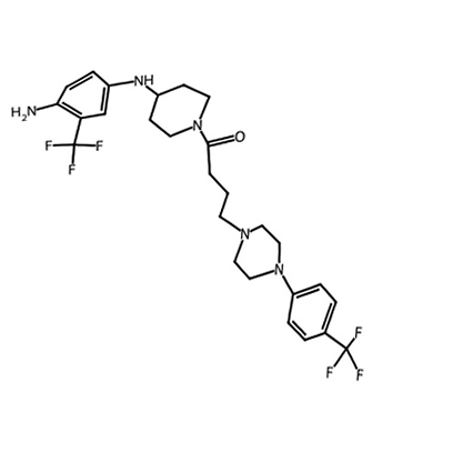 Nc1ccc(NC2CCN(C(=O)CCCN3CCN(c4ccc(C(F)(F)F)cc4)CC3)CC2)cc1C(F)(F)F